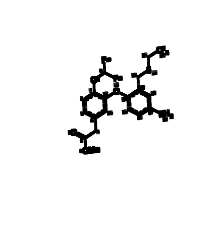 COC(=O)Cc1ccc(OC(F)F)c(Oc2ccc(N)cc2CSCC(F)(F)F)c1